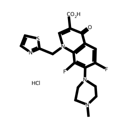 CN1CCN(c2c(F)cc3c(=O)c(C(=O)O)cn(Cc4nccs4)c3c2F)CC1.Cl